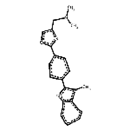 CN(C)Cc1coc(-c2ccc(-c3nc4ccccc4n3C)cc2)n1